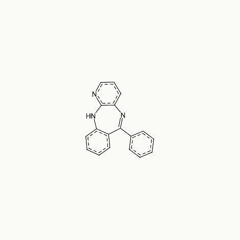 c1ccc(C2=Nc3cccnc3Nc3ccccc32)cc1